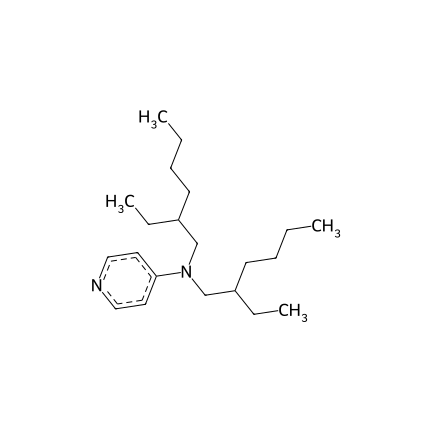 CCCCC(CC)CN(CC(CC)CCCC)c1ccncc1